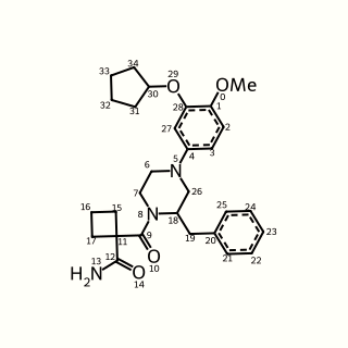 COc1ccc(N2CCN(C(=O)C3(C(N)=O)CCC3)C(Cc3ccccc3)C2)cc1OC1CCCC1